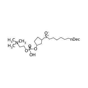 CCCCCCCCCCCCCCCC[S+]([O-])C1CCC(OP(=O)(O)OCC[N+](C)(C)C)C1